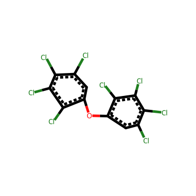 Clc1cc(Oc2cc(Cl)c(Cl)c(Cl)c2Cl)c(Cl)c(Cl)c1Cl